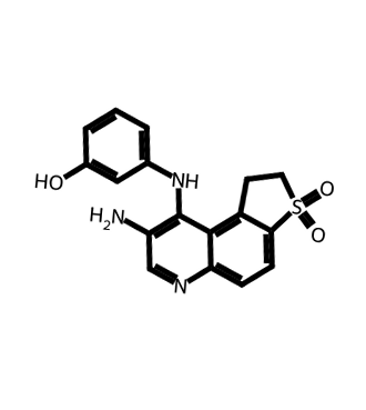 Nc1cnc2ccc3c(c2c1Nc1cccc(O)c1)CCS3(=O)=O